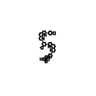 COc1ccc(-c2ccc3ccc4ccc(-c5cc(OC)cc(-c6ccc7ccc8ccc(-c9ccc(OP(=O)(O)O)cc9)nc8c7n6)c5)nc4c3n2)cc1